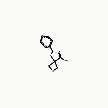 O=C(O)C1(NCc2ccccc2)COC1